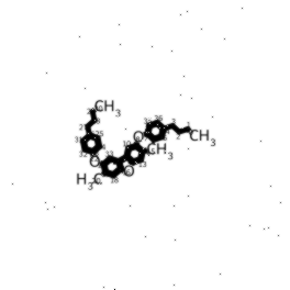 CCCCc1ccc(Oc2cc3c(cc2C)oc2cc(C)c(Oc4ccc(CCCC)cc4)cc23)cc1